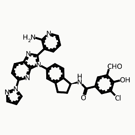 Nc1ncccc1-c1nc2ccc(-n3cccn3)nc2n1-c1ccc2c(c1)CC[C@@H]2NC(=O)c1cc(Cl)c(O)c(C=O)c1